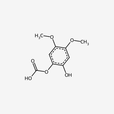 COc1cc(O)c(OC(=O)O)cc1OC